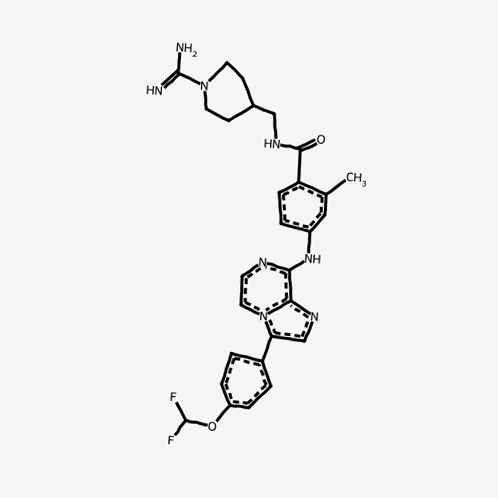 Cc1cc(Nc2nccn3c(-c4ccc(OC(F)F)cc4)cnc23)ccc1C(=O)NCC1CCN(C(=N)N)CC1